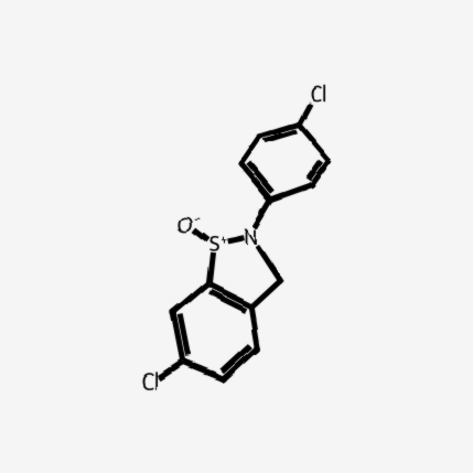 [O-][S+]1c2cc(Cl)ccc2CN1c1ccc(Cl)cc1